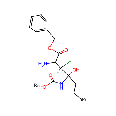 CC(C)CCC(O)(NC(=O)OC(C)(C)C)C(F)(F)C(N)C(=O)OCc1ccccc1